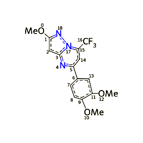 COc1cc2nc(-c3ccc(OC)c(OC)c3)cc(C(F)(F)F)n2n1